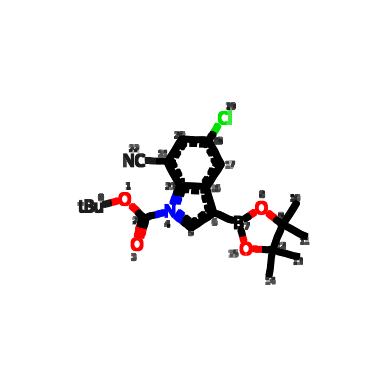 CC(C)(C)OC(=O)n1cc(B2OC(C)(C)C(C)(C)O2)c2cc(Cl)cc(C#N)c21